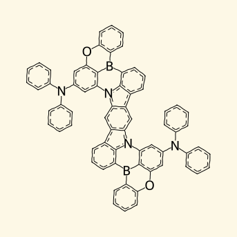 c1ccc(N(c2ccccc2)c2cc3c4c(c2)-n2c5cc6c7cccc8c7n(c6cc5c5cccc(c52)B4c2ccccc2O3)-c2cc(N(c3ccccc3)c3ccccc3)cc3c2B8c2ccccc2O3)cc1